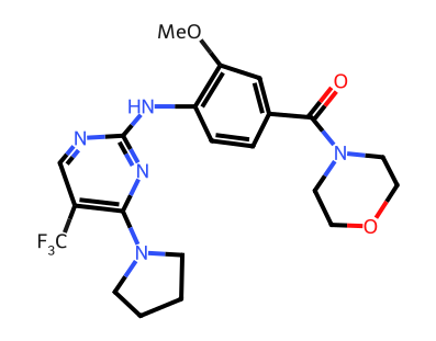 COc1cc(C(=O)N2CCOCC2)ccc1Nc1ncc(C(F)(F)F)c(N2CCCC2)n1